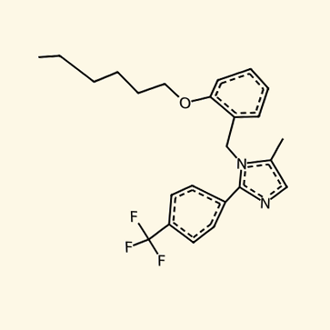 CCCCCCOc1ccccc1Cn1c(C)cnc1-c1ccc(C(F)(F)F)cc1